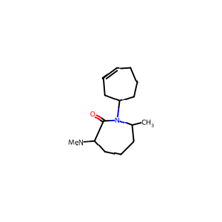 CNC1CCCC(C)N(C2CC=CCCC2)C1=O